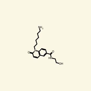 NCCCCCCn1c(=O)ccc2cc(C(=O)NCCO)ccc21